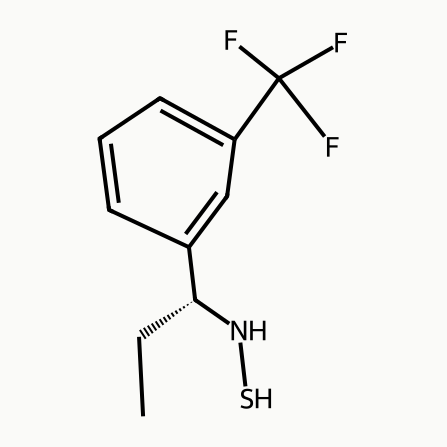 CC[C@@H](NS)c1cccc(C(F)(F)F)c1